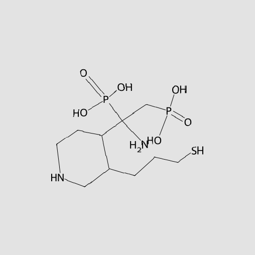 NC(CP(=O)(O)O)(C1CCNCC1CCCS)P(=O)(O)O